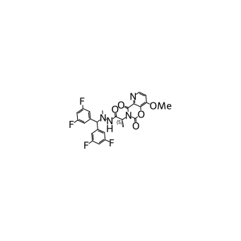 COc1ccnc2c(=O)n([C@@H](C)C(=O)NN(C)C(c3cc(F)cc(F)c3)c3cc(F)cc(F)c3)c(=O)oc12